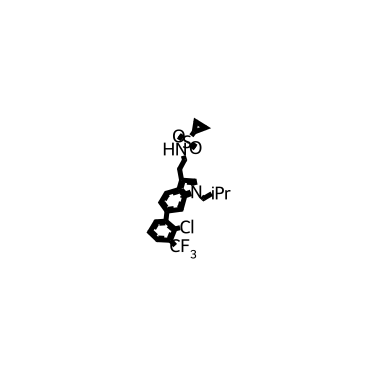 CC(C)Cn1cc(CCNS(=O)(=O)C2CC2)c2ccc(-c3cccc(C(F)(F)F)c3Cl)cc21